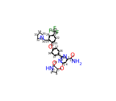 NC(=O)c1cc(OC2CCNC2=O)nc(-c2ccc(Oc3ccc(C(F)(F)F)cc3CN3CCCC3)cc2)n1